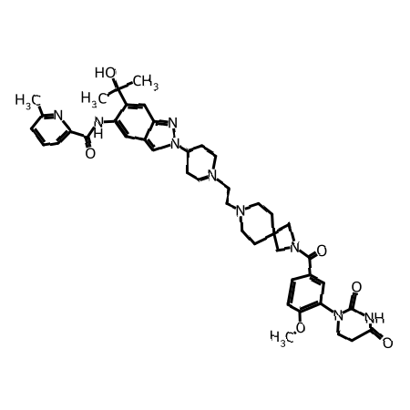 COc1ccc(C(=O)N2CC3(CCN(CCN4CCC(n5cc6cc(NC(=O)c7cccc(C)n7)c(C(C)(C)O)cc6n5)CC4)CC3)C2)cc1N1CCC(=O)NC1=O